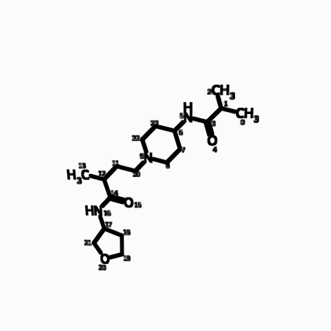 CC(C)C(=O)NC1CCN(CCC(C)C(=O)NC2CCOC2)CC1